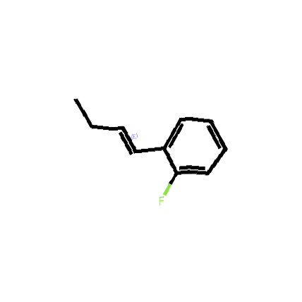 CC/C=C/c1ccccc1F